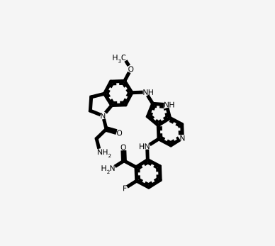 COc1cc2c(cc1Nc1cc3c(Nc4cccc(F)c4C(N)=O)cncc3[nH]1)N(C(=O)CN)CC2